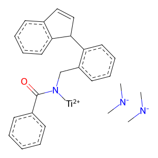 C[N-]C.C[N-]C.O=C(c1ccccc1)[N]([Ti+2])Cc1ccccc1C1C=Cc2ccccc21